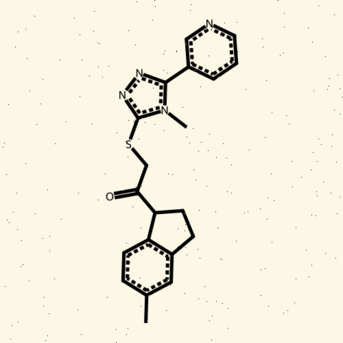 Cc1ccc2c(c1)CCC2C(=O)CSc1nnc(-c2cccnc2)n1C